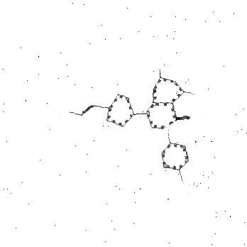 CCOC(=O)/C=C/c1ccc(-c2cn(-c3ccc(OC)cc3)c(=O)c3c(O)cc(OC)cc23)cc1